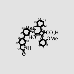 COc1ccccc1C1C(C(=O)O)C(c2ccccc2OC)C1C(O)Oc1cccc(-c2ccc3c(c2)NC(=O)C3)c1